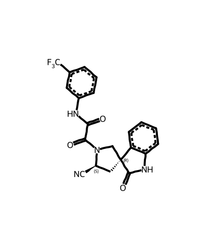 N#C[C@@H]1C[C@@]2(CN1C(=O)C(=O)Nc1cccc(C(F)(F)F)c1)C(=O)Nc1ccccc12